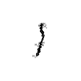 C/C(=C(/C#N)C(=O)NCCCOCCN1CCN(c2ccc3cc(-c4ccc(/C(C)=C(\C#N)S(N)(=O)=O)o4)ccc3c2)CC1)c1ccc(-c2ccc3cc(N4CCN(C)CC4)ccc3c2)o1